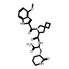 COc1cccc2[nH]c(C(=O)N3CC4(CCC4)CC3C(=O)N[C@@H](C[C@@H]3CCCNC3=O)C(N)=O)cc12